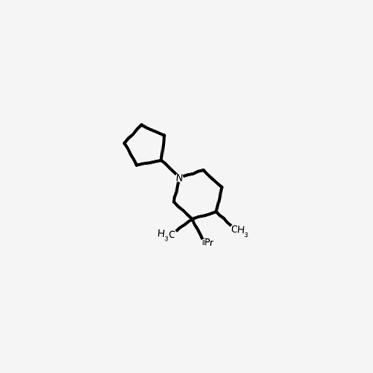 CC(C)C1(C)CN(C2CCCC2)CCC1C